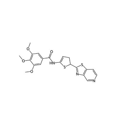 COc1cc(C(=O)NC2=CCC(c3nc4cnccc4s3)S2)cc(OC)c1OC